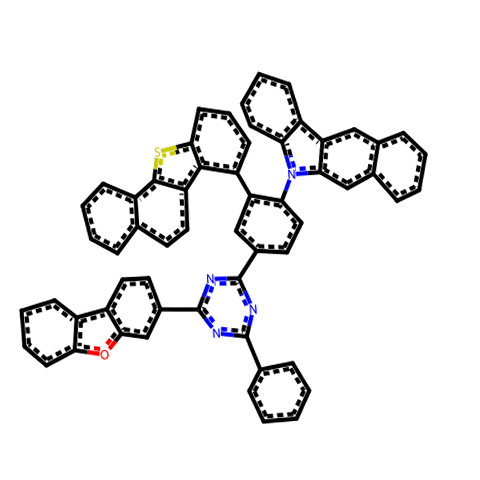 c1ccc(-c2nc(-c3ccc(-n4c5ccccc5c5cc6ccccc6cc54)c(-c4cccc5sc6c7ccccc7ccc6c45)c3)nc(-c3ccc4c(c3)oc3ccccc34)n2)cc1